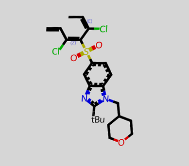 C=C/C(Cl)=C(\C(Cl)=C/C)S(=O)(=O)c1ccc2c(c1)nc(C(C)(C)C)n2CC1CCOCC1